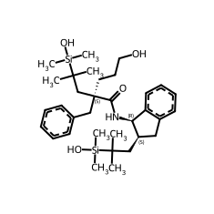 CC(C)(C[C@@H]1Cc2ccccc2[C@@H]1NC(=O)[C@@](CCCO)(Cc1ccccc1)CC(C)(C)[Si](C)(C)O)[Si](C)(C)O